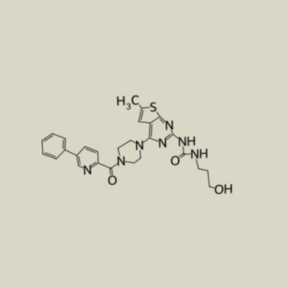 Cc1cc2c(N3CCN(C(=O)c4ccc(-c5ccccc5)cn4)CC3)nc(NC(=O)NCCCO)nc2s1